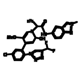 CCCC(C(=O)Nc1ccc2nn(C)cc2c1)N1C=C(OC)C(c2cc(Cl)ccc2-n2cc(C(F)F)nn2)=CC1O